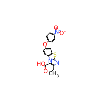 CCc1nc2sc3cc(Oc4ccc([N+](=O)[O-])cc4)ccc3n2c1C(=O)O